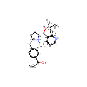 COC(=O)c1ccc(C[C@@H]2CC[C@H](C(O[Si](C)(C)C(C)(C)C)c3cccnc3)N2C(=O)O)cc1